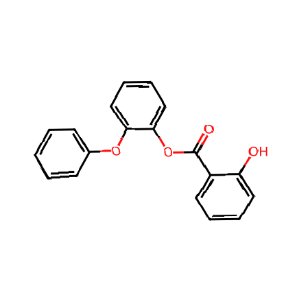 O=C(Oc1ccccc1Oc1ccccc1)c1ccccc1O